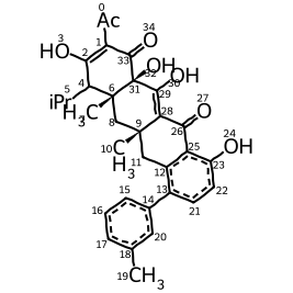 CC(=O)C1=C(O)C(C(C)C)[C@@]2(C)C[C@@]3(C)Cc4c(-c5cccc(C)c5)ccc(O)c4C(=O)C3=C(O)[C@@]2(O)C1=O